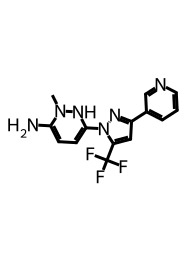 CN1NC(n2nc(-c3cccnc3)cc2C(F)(F)F)=CC=C1N